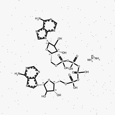 N.N.N.Nc1ncnc2c1ncn2[C@@H]1O[C@H](COP(=O)(O)OP(=O)(O)OP(=O)(O)OP(=O)(O)OC[C@@H]2O[C@H](n3cnc4c(N)ncnc43)C(O)[C@@H]2O)[C@H](O)C1O